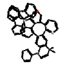 CC1(C)C=CN(c2ccccc2)c2cc3c(cc21)-c1ncccc1-c1cccc(-n2c4ccccc4c4ccccc42)c1-c1c-3cccc1-n1c2ccccc2c2ccccc21